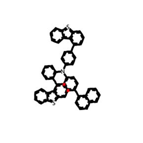 c1ccc(N(c2ccc(-c3cccc4ccccc34)cc2)c2ccc(-c3cccc4sc5ccccc5c34)cc2)c(-c2cccc3sc4ccccc4c23)c1